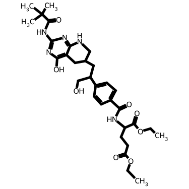 CCOC(=O)CCC(NC(=O)c1ccc(C(CO)CC2CNc3nc(NC(=O)C(C)(C)C)nc(O)c3C2)cc1)C(=O)OCC